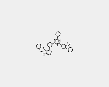 CC1(C)c2ccccc2-c2ccc(-c3nc(-c4ccccc4)nc(-c4cccc(-c5cccc6oc7cc8ccccc8cc7c56)c4)n3)cc21